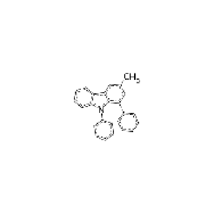 Cc1cc(-c2ccccc2)c2c(c1)c1ccccc1n2-c1ccccc1